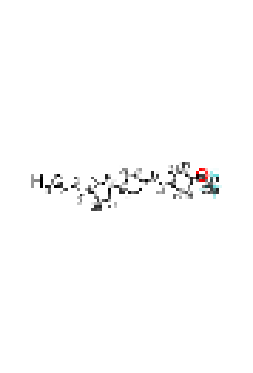 CCCCc1ccc(-c2ccc(CCc3ccc(OC(F)(F)F)cc3)cc2)cc1